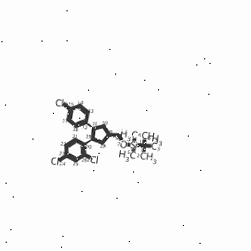 CC(C)(C)[Si](C)(C)OCC1C[C@H](c2ccc(Cl)cc2)[C@H](c2ccc(Cl)cc2Cl)C1